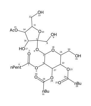 CCCCCC(=O)OC1C(OC2(CO)OC(CO)C(OC(C)=O)C2O)OC(CO)C(OC(=O)CCCC)C1OC(=O)CCCC